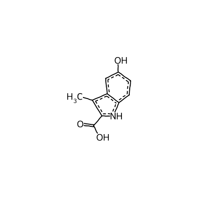 Cc1c(C(=O)O)[nH]c2ccc(O)cc12